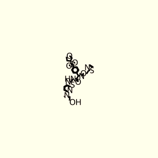 CN(CCO)c1ccc2nc(NC(=O)/C(=N/OCc3nccs3)c3ccc(S(=O)(=O)[C@H]4CCOC4)cc3)sc2n1